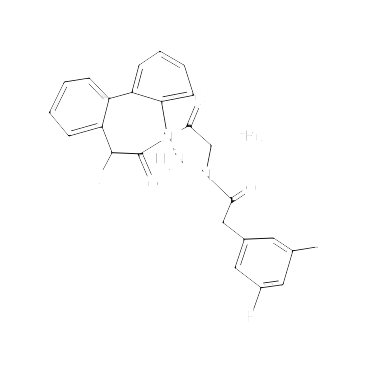 CC1C(=O)[N@+](N)(C(=O)[C@@H](NC(=O)Cc2cc(F)cc(F)c2)C(C)(C)C)c2ccccc2-c2ccccc21